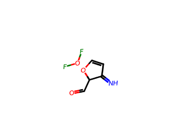 FOF.N=C1C=COC1C=O